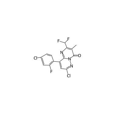 Cc1c(C(F)F)nc2c(-c3ccc(Cl)cc3F)cc(Cl)nn2c1=O